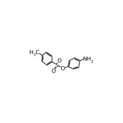 Cc1ccc(S(=O)(=O)Oc2ccc(N)cc2)cc1